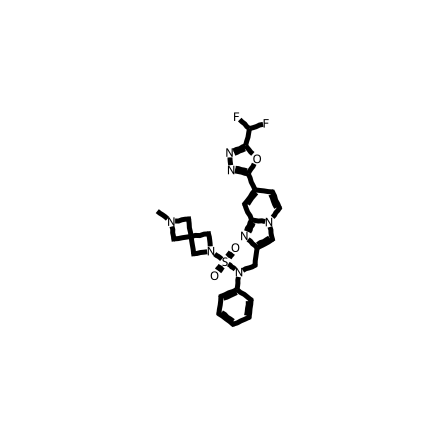 CN1CC2(C1)CN(S(=O)(=O)N(Cc1cn3ccc(-c4nnc(C(F)F)o4)cc3n1)c1ccccc1)C2